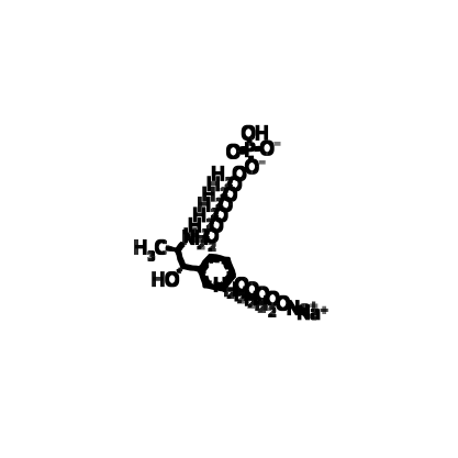 C[C@@H](N)[C@@H](O)c1ccccc1.O.O.O.O.O.O.O.O.O.O.O.O.O=P([O-])([O-])O.[Na+].[Na+]